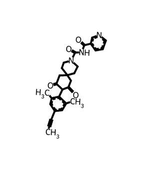 CC#Cc1cc(C)c(C2C(=O)CC3(CCN(C(=O)NC(=O)c4cccnc4)CC3)CC2=O)c(C)c1